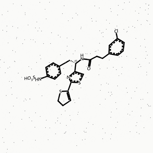 O=C(CCc1cccc(Cl)c1)N[C@@H](Cc1ccc(NS(=O)(=O)O)cc1)c1csc(C2=CCCS2)n1